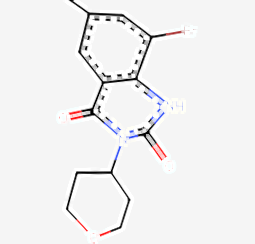 Cc1cc(Br)c2[nH]c(=O)n(C3CCOCC3)c(=O)c2c1